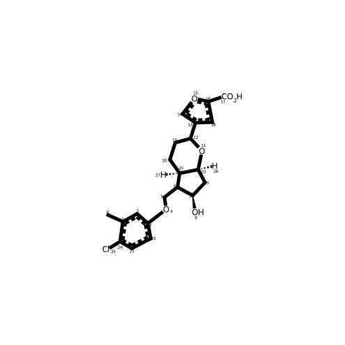 Cc1cc(OCC2[C@H](O)C[C@@H]3OC(c4coc(C(=O)O)c4)CC[C@H]23)ccc1Cl